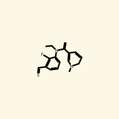 C=C(C1=CN(C)CC=C1)N(CC)c1cccc(C=S)c1F